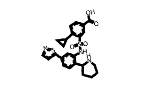 O=C(O)c1ccc(C2CC2)c(S(=O)(=O)Nc2cc(-c3ccns3)ccc2C2CCCCN2)c1